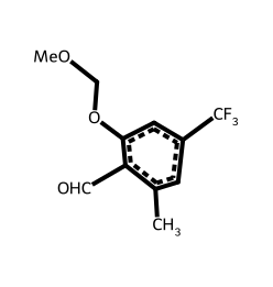 COCOc1cc(C(F)(F)F)cc(C)c1C=O